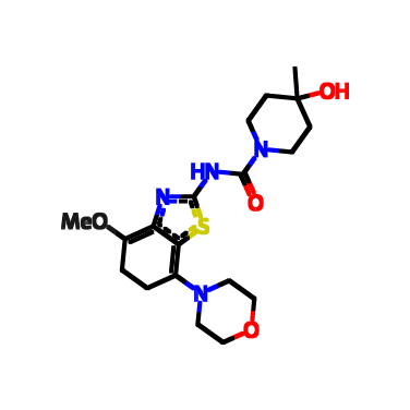 COC1=c2nc(NC(=O)N3CCC(C)(O)CC3)sc2=C(N2CCOCC2)CC1